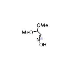 COC(/C=N/O)OC